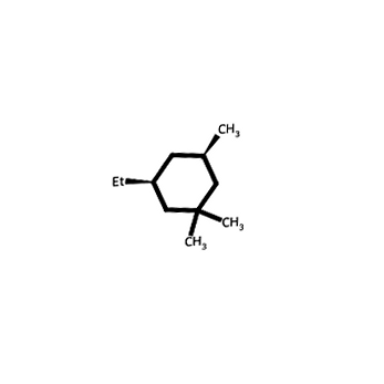 CC[C@H]1C[C@@H](C)CC(C)(C)C1